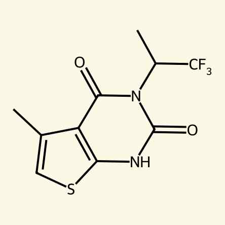 Cc1csc2[nH]c(=O)n(C(C)C(F)(F)F)c(=O)c12